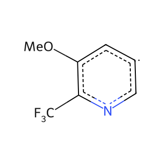 COc1c[c]cnc1C(F)(F)F